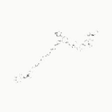 CC(C)(NC(=O)Nc1ccc2c(c1)CN(C1CCC(=O)NC1=O)C2=O)c1ccc(-c2cccnc2)c(OCCOCCOCCOCCOCCOCC(=O)OCc2ccccc2)c1